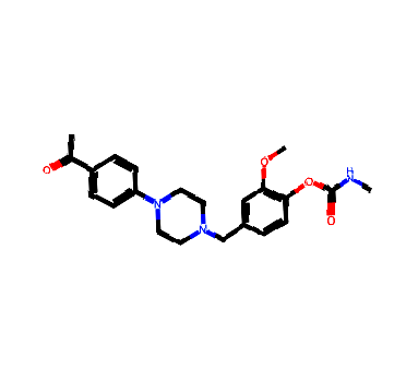 CNC(=O)Oc1ccc(CN2CCN(c3ccc(C(C)=O)cc3)CC2)cc1OC